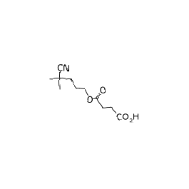 CC(C)(C#N)CCCOC(=O)CCC(=O)O